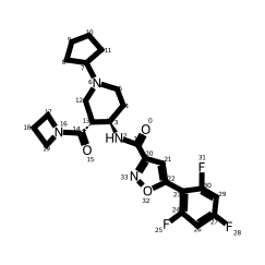 O=C(N[C@@H]1CCN(C2CCCC2)C[C@H]1C(=O)N1CCC1)c1cc(-c2c(F)cc(F)cc2F)on1